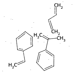 C=C(C)c1ccccc1.C=CC=C.C=Cc1ccccc1